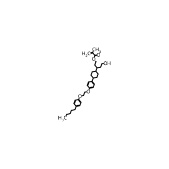 C=C(C)C(=O)OCCC(CCO)C1CCC(c2ccc(OCCOc3ccc(CCCCC)cc3)cc2)CC1